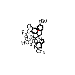 CC(C)(C)c1ccc(CC(C(N)=O)(c2ccc(Cl)c(C(F)(F)F)c2)n2ccc3cc(C(F)(F)F)nc(C(=O)O)c32)cc1